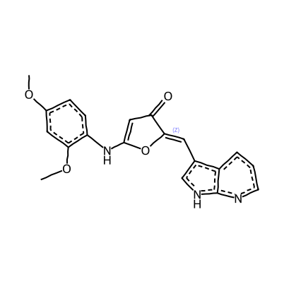 COc1ccc(NC2=CC(=O)/C(=C/c3c[nH]c4ncccc34)O2)c(OC)c1